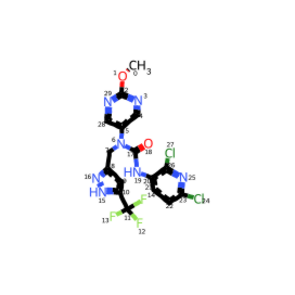 COc1ncc(N(Cc2cc(C(F)(F)F)[nH]n2)C(=O)Nc2ccc(Cl)nc2Cl)cn1